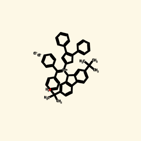 CC(C)(C)c1ccc2c(c1)[CH]([Zr+2]([C]1=CC(c3ccccc3)=C(c3ccccc3)C1)=[C](c1ccccc1)c1ccccc1)c1cc(C(C)(C)C)ccc1-2.[Cl-].[Cl-]